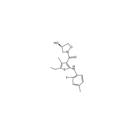 CCc1sc(Nc2ccc(I)cc2F)c(C(=O)N2C[C@@H](O)CO2)c1C